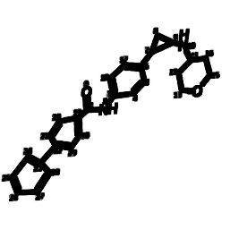 O=C(Nc1ccc(C2CC2NC2CCOCC2)cc1)c1ccc(-c2ccccc2)cc1